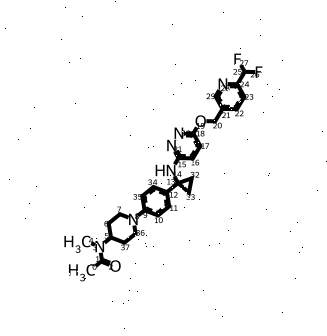 CC(=O)N(C)C1CCN(c2ccc(C3(Nc4ccc(OCc5ccc(C(F)F)nc5)nn4)CC3)cc2)CC1